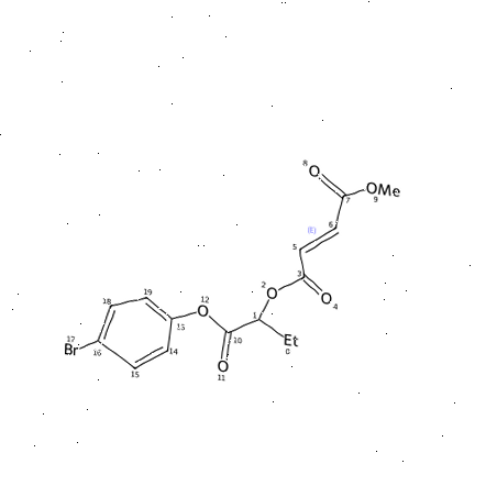 CCC(OC(=O)/C=C/C(=O)OC)C(=O)Oc1ccc(Br)cc1